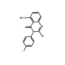 COc1cccc2nc(C(C)C)n(-c3ccc(Cl)cc3)c(=O)c12